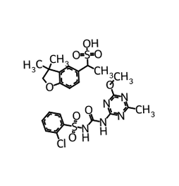 CC(c1ccc2c(c1)C(C)(C)CO2)S(=O)(=O)O.COc1nc(C)nc(NC(=O)NS(=O)(=O)c2ccccc2Cl)n1